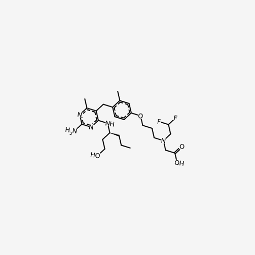 CCC[C@@H](CCO)Nc1nc(N)nc(C)c1Cc1ccc(OCCCN(CC(=O)O)CC(F)F)cc1C